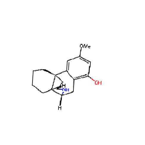 COc1cc(O)c2c(c1)[C@@]13CCCC[C@H]1[C@@H](C2)NCC3